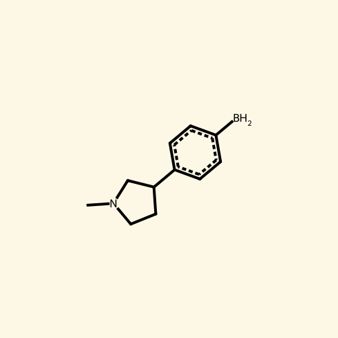 Bc1ccc(C2CCN(C)C2)cc1